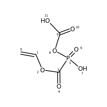 C=COC(=O)P(=O)(O)OC(=O)O